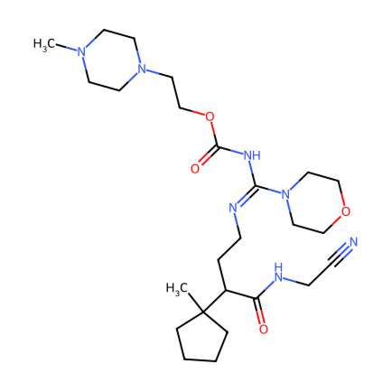 CN1CCN(CCOC(=O)NC(=NCCC(C(=O)NCC#N)C2(C)CCCC2)N2CCOCC2)CC1